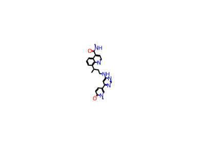 CNC(=O)c1ccnc2c(C(C)CCNc3cc(-c4ccc(=O)n(C)c4)ncn3)cccc12